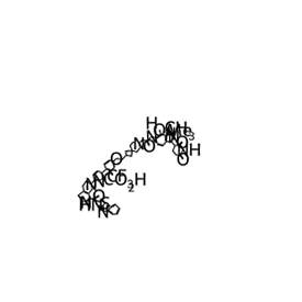 COc1c(NC(=O)CN2CCC3(CC2)CC(COc2ccc(-c4ccc(N5CCc6ccnc(C(=O)Nc7nc8ccccc8s7)c6C5)nc4C(=O)O)c(C(F)(F)F)c2)C3)ccc2c(C3CCC(=O)NC3=O)nn(C)c12